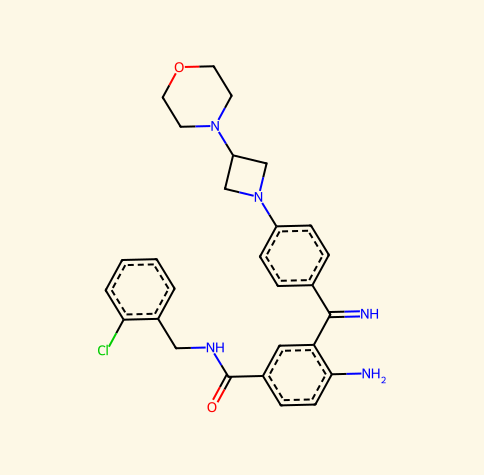 N=C(c1ccc(N2CC(N3CCOCC3)C2)cc1)c1cc(C(=O)NCc2ccccc2Cl)ccc1N